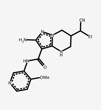 CCC(C#N)C1CNc2c(C(=O)Nc3cnccc3OC)c(N)nn2C1